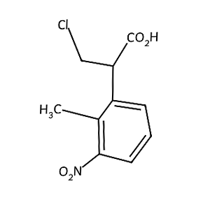 Cc1c(C(CCl)C(=O)O)cccc1[N+](=O)[O-]